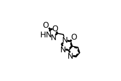 O=c1[nH]nc(Cn2cnc3ncccc3c2=O)o1